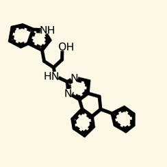 OCC(Cc1c[nH]c2ccccc12)Nc1ncc2c(n1)-c1ccccc1C(c1ccccc1)C2